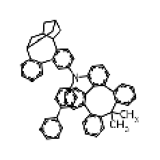 CC1(C)c2ccccc2-c2ccccc2-c2c(cccc2N(c2ccc(-c3ccccc3)cc2)c2ccc3c(c2)-c2ccccc2C2CC4CC(C2)C3C4)-c2ccccc21